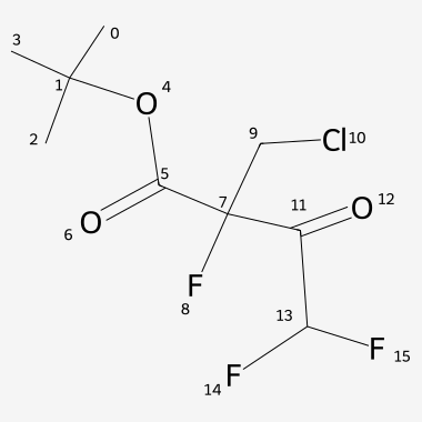 CC(C)(C)OC(=O)C(F)(CCl)C(=O)C(F)F